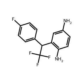 Nc1ccc(N)c(C(c2ccc(F)cc2)C(F)(F)F)c1